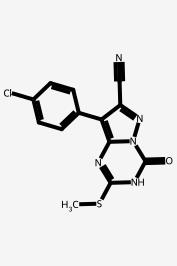 CSc1nc2c(-c3ccc(Cl)cc3)c(C#N)nn2c(=O)[nH]1